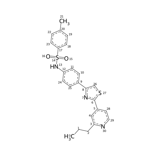 CCCc1cc(-c2nc(-c3ccc(NS(=O)(=O)c4ccc(C)cc4)cc3)cs2)ccn1